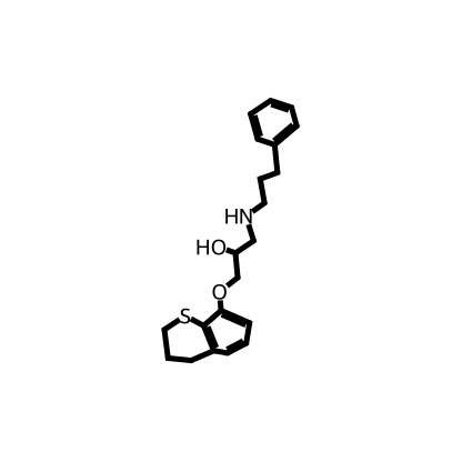 OC(CNCCCc1ccccc1)COc1cccc2c1SCCC2